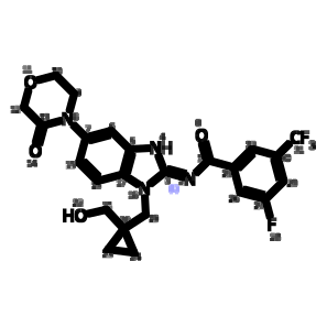 O=C(/N=c1\[nH]c2cc(N3CCOCC3=O)ccc2n1CC1(CO)CC1)c1cc(F)cc(C(F)(F)F)c1